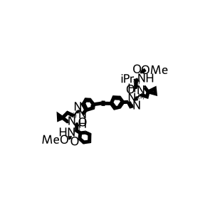 COC(=O)N[C@H](C(=O)N1CC2(CC2)C[C@H]1c1ncc(-c2ccc(C#Cc3ccc4nc([C@@H]5CC6(CC6)CN5C(=O)[C@@H](NC(=O)OC)C5CCCCC5)[nH]c4c3)cc2)[nH]1)C(C)C